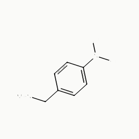 CNCc1ccc(N(C)C)cc1